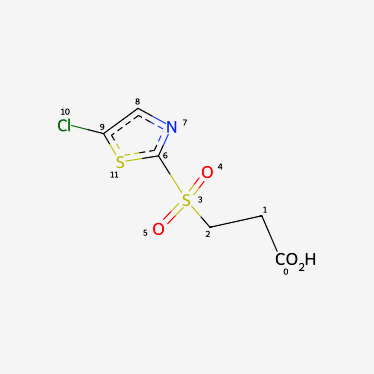 O=C(O)CCS(=O)(=O)c1ncc(Cl)s1